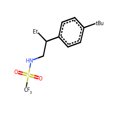 CCC(CNS(=O)(=O)C(F)(F)F)c1ccc(C(C)(C)C)cc1